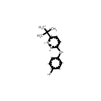 CC(C)(C)c1ccc(Oc2ccc(F)cc2)nn1